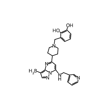 Bc1cnn2c(NCc3cccnc3)cc(C3CCN(Cc4cccc(O)c4O)CC3)nc12